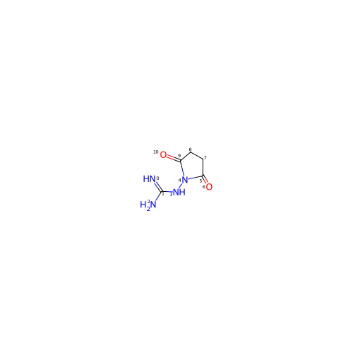 N=C(N)NN1C(=O)CCC1=O